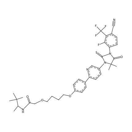 CC(NC(=O)COCCCCOc1ccc(-c2ccc(N3C(=S)N(c4ccc(C#N)c(C(F)(F)F)c4F)C(=O)C3(C)C)cn2)cc1)C(C)(C)C